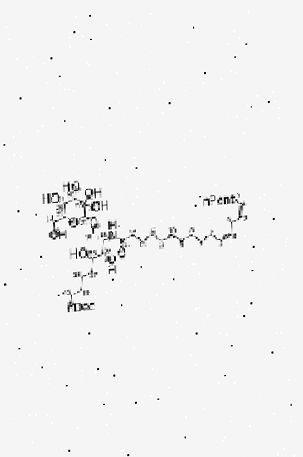 CCCCC/C=C\C/C=C\CCCCCCCCCC(=O)N[C@@H](CO[C@H]1OC(CO)[C@H](O)[C@H](O)C1(O)O)[C@H](O)[C@H](O)CCCCCCCCCCCCCC